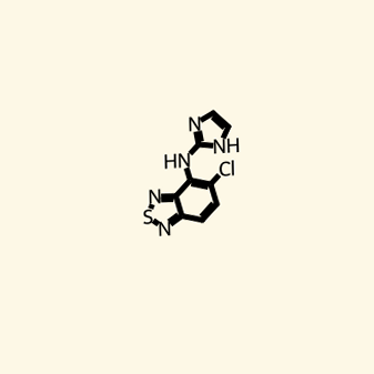 Clc1ccc2nsnc2c1Nc1ncc[nH]1